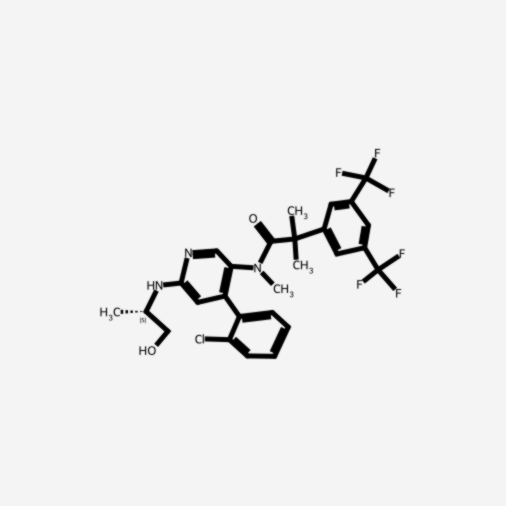 C[C@@H](CO)Nc1cc(-c2ccccc2Cl)c(N(C)C(=O)C(C)(C)c2cc(C(F)(F)F)cc(C(F)(F)F)c2)cn1